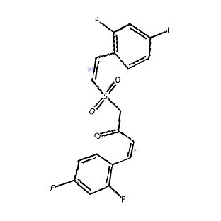 O=C(/C=C\c1ccc(F)cc1F)CS(=O)(=O)/C=C\c1ccc(F)cc1F